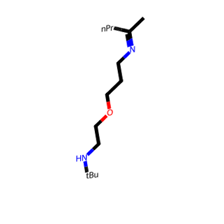 CCC/C(C)=N\CCCOCCNC(C)(C)C